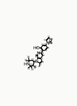 Cc1cc2cc(-c3ccc(-n4ccnn4)cc3O)nnc2n1[C@H]1CC(C)(C)NC(C)(C)[C@H]1F